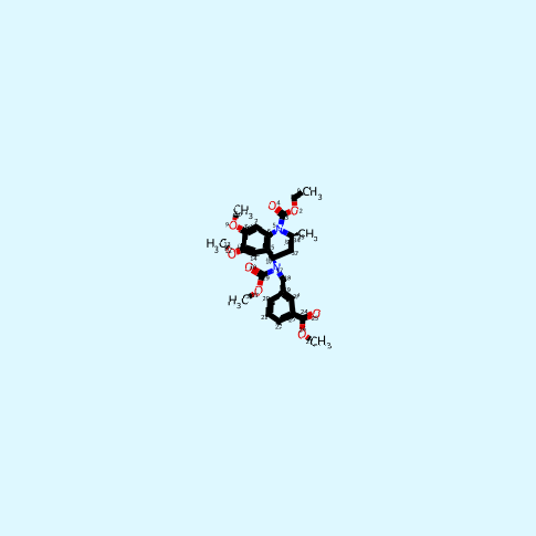 CCOC(=O)N1c2cc(OC)c(OC)cc2[C@H](N(Cc2cccc(C(=O)OC)c2)C(=O)OC)C[C@@H]1C